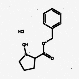 Cl.O=C(OCc1ccccc1)C1CCCN1O